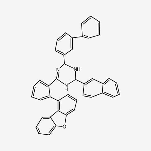 c1ccc(-c2cccc(C3N=C(c4ccccc4-c4cccc5oc6ccccc6c45)NC(c4ccc5ccccc5c4)N3)c2)cc1